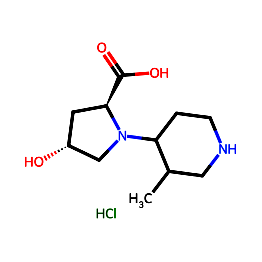 CC1CNCCC1N1C[C@H](O)C[C@H]1C(=O)O.Cl